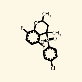 CC1CC(C)(S(=O)(=O)c2ccc(Cl)cc2)c2c(F)ccc(F)c2O1